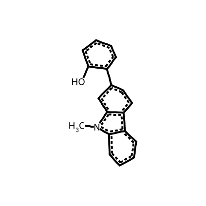 Cn1c2ccccc2c2ccc(-c3ccccc3O)cc21